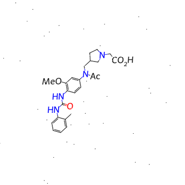 COc1cc(N(CC2CCN(CC(=O)O)C2)C(C)=O)ccc1NC(=O)Nc1ccccc1C